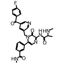 CNC(=O)c1cccc(-c2cnc(NC(=O)C(C)NC)c(=O)n2Cc2cncc(C(=O)c3ccc(F)cc3)c2)c1